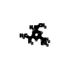 C[SiH2]c1cc([SiH2]C)nc([SiH2]C)c1